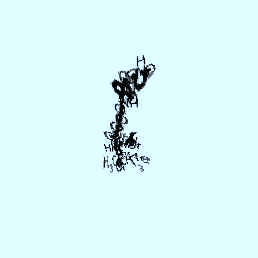 CCn1nc(C2CC2)cc1Nc1nc(C(=O)NCCOCCOCCOCCNc2cccc3c2C(=O)N(C2CCC(=O)NC2=O)C3=O)nc2[nH]c3cc(-c4c(C)noc4C)c(OC)cc3c12